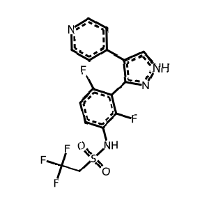 O=S(=O)(CC(F)(F)F)Nc1ccc(F)c(-c2n[nH]cc2-c2ccncc2)c1F